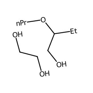 CCCOC(CC)CO.OCCO